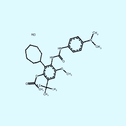 COc1cc(C(C)(C)C)c(OC(C)=O)c(C2CCCCCC2)c1NC(=O)Nc1ccc(N(C)C)cc1.Cl